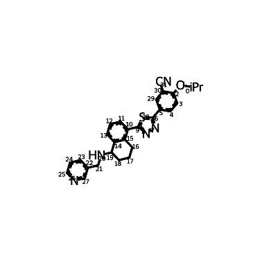 CC(C)Oc1ccc(-c2nnc(-c3cccc4c3CCCC4NCc3cccnc3)s2)cc1C#N